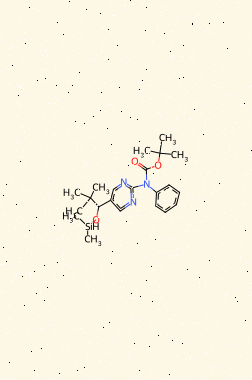 C[SiH](C)OC(c1cnc(N(C(=O)OC(C)(C)C)c2ccccc2)nc1)C(C)(C)C